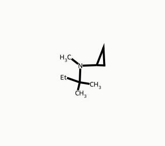 CCC(C)(C)N(C)C1CC1